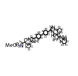 COO/C=N\[C@@H](C)C(=O)N1CCC[C@H]1c1ncc(-c2ccc(-c3ccc(-c4cnc([C@@H]5CCCN5C(=O)[C@@H](Nc5ncccn5)C(C)C)[nH]4)cc3)cc2)[nH]1